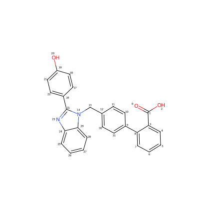 O=C(O)c1ccccc1-c1ccc(Cn2c(-c3ccc(O)cc3)nc3ccccc32)cc1